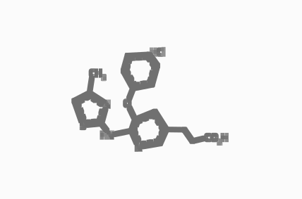 Cc1csc(Nc2ncc(CCC(=O)O)cc2Oc2ccccc2)n1.Cl